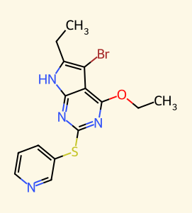 CCOc1nc(Sc2cccnc2)nc2[nH]c(CC)c(Br)c12